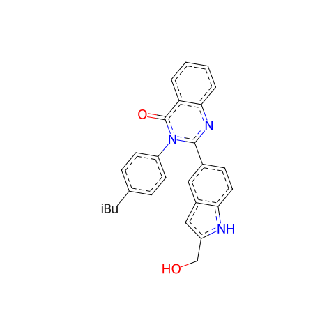 CCC(C)c1ccc(-n2c(-c3ccc4[nH]c(CO)cc4c3)nc3ccccc3c2=O)cc1